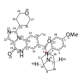 COc1ccc(CN2[C@@H]3CC[C@H]2CN(C(=O)c2cc4[nH]c(=O)c5cnc(C6CCOCC6)n5c4cc2C)C3)cc1